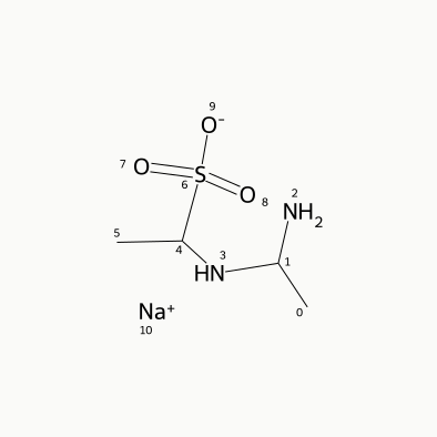 CC(N)NC(C)S(=O)(=O)[O-].[Na+]